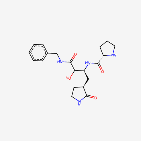 O=C(NCc1ccccc1)C(O)[C@H](C[C@@H]1CCNC1=O)NC(=O)[C@@H]1CCCN1